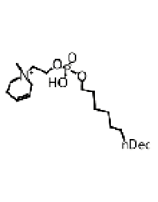 CCCCCCCCCCCCCCCCOP(=O)(O)OCC[N+]1(C)CC=CCC1